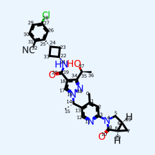 Cc1cc(N2C[C@H]3C[C@H]3C2=O)ncc1[C@H](C)n1cc(C(=O)N[C@H]2C[C@@H](c3cc(Cl)ccc3C#N)C2)c([C@H](C)O)n1